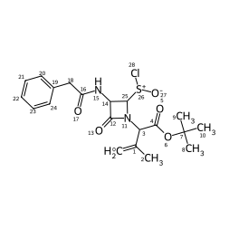 C=C(C)C(C(=O)OC(C)(C)C)N1C(=O)C(NC(=O)Cc2ccccc2)C1[S+]([O-])Cl